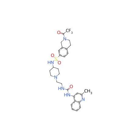 Cc1cc(NC(=O)NCCN2CCC(NS(=O)(=O)c3ccc4c(c3)CN(C(=O)C(F)(F)F)CC4)CC2)c2ccccc2n1